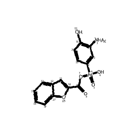 CC(=O)Nc1cc([As](=O)(O)OC(=O)c2cc3ccccc3o2)ccc1O